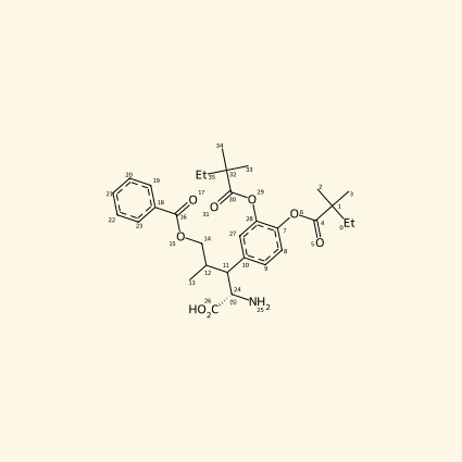 CCC(C)(C)C(=O)Oc1ccc(C(C(C)COC(=O)c2ccccc2)[C@H](N)C(=O)O)cc1OC(=O)C(C)(C)CC